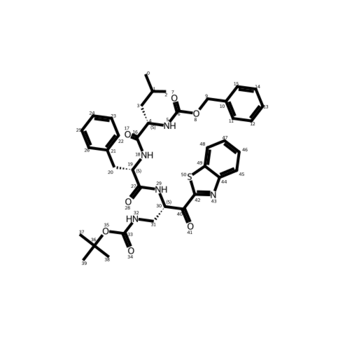 CC(C)C[C@H](NC(=O)OCc1ccccc1)C(=O)N[C@@H](Cc1ccccc1)C(=O)N[C@@H](CNC(=O)OC(C)(C)C)C(=O)c1nc2ccccc2s1